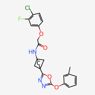 Cc1cccc(Oc2nnc(C34CC(NC(=O)COc5ccc(Cl)c(F)c5)(C3)C4)o2)c1